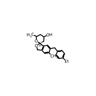 CCc1ccc(Cc2cc3c(cc2C)CO[C@@]32CC(O)CC(C)O2)cc1